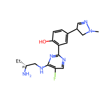 CC[C@@H](N)CNc1nc(-c2cc(C3C=NN(C)C3)ccc2O)ncc1F